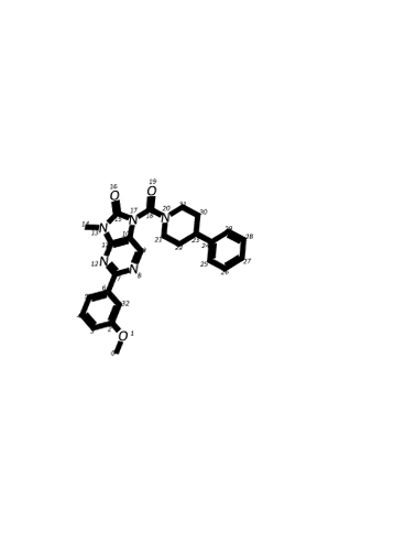 COc1cccc(-c2ncc3c(n2)n(C)c(=O)n3C(=O)N2CCC(c3ccccc3)CC2)c1